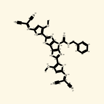 COc1cc(N=C(C#N)C#N)sc1-c1nc2c(s1)c1sc(-c3sc(N=C(C#N)C#N)cc3OC)nc1n2C(=O)OCc1ccccc1